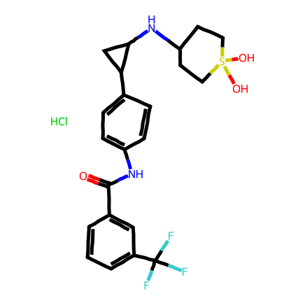 Cl.O=C(Nc1ccc(C2CC2NC2CCS(O)(O)CC2)cc1)c1cccc(C(F)(F)F)c1